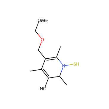 COCOCC1=C(C)N(S)C(C)C(C#N)=C1C